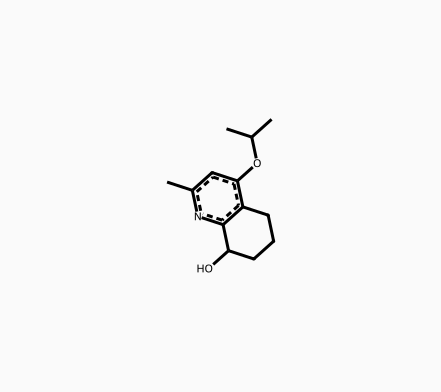 Cc1cc(OC(C)C)c2c(n1)C(O)CCC2